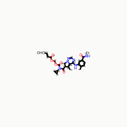 CCNC(=O)c1ccc(C)c(NC2=NC=NN3CC(C(=O)N(C(=O)OCOC(=O)/C=C/C=O)C4CC4)C(C)=C23)c1